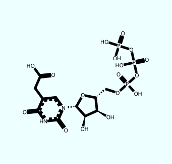 O=C(O)Cc1cn([C@@H]2O[C@H](COP(=O)(O)OP(=O)(O)OP(=O)(O)O)[C@@H](O)[C@H]2O)c(=O)[nH]c1=O